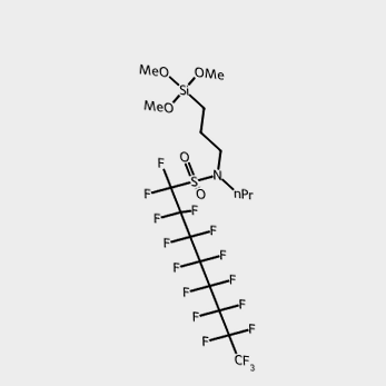 CCCN(CCC[Si](OC)(OC)OC)S(=O)(=O)C(F)(F)C(F)(F)C(F)(F)C(F)(F)C(F)(F)C(F)(F)C(F)(F)C(F)(F)F